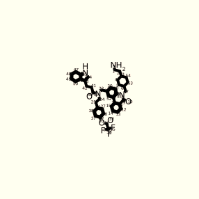 NCCC1CCC(CNC(=O)c2ccccc2-c2cccc(CN(CCc3ccc(OC(=O)C(F)(F)F)cc3)C(=O)CCc3c[nH]c4ccccc34)c2)CC1